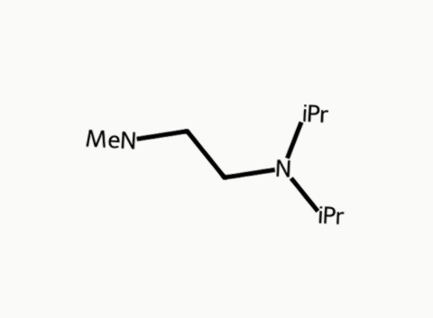 CNCCN(C(C)C)C(C)C